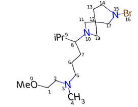 COCCN(C)CCCC(C(C)C)N1CC2(CCN(Br)C2)C1